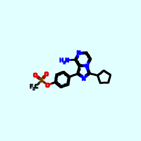 Nc1nccn2c(C3CCCC3)nc(-c3ccc(OS(=O)(=O)C(F)(F)F)cc3)c12